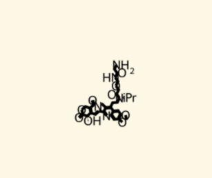 CC(C)N(CCc1c2c(nc3cc4c(cc13)OCO4)-c1cc3c(c(=O)n1C2)COC(=O)[C@H]3O)C(=O)COCNC(=O)CN